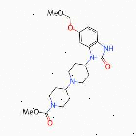 COCOc1ccc2[nH]c(=O)n(C3CCN(C4CCN(C(=O)OC)CC4)CC3)c2c1